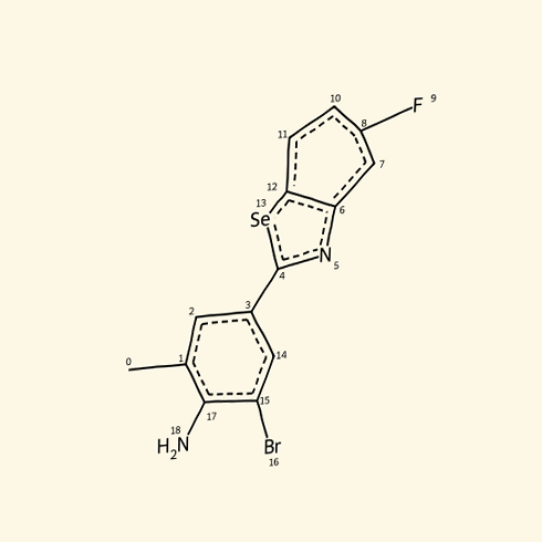 Cc1cc(-c2nc3cc(F)ccc3[se]2)cc(Br)c1N